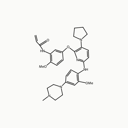 C=CC(=O)Nc1cc(Oc2nc(Nc3ccc(N4CCN(C)CC4)cc3OC)ccc2N2CCCC2)ccc1OC